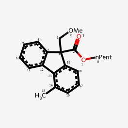 CCCCCOC(=O)C1(COC)c2ccccc2-c2c(C)cccc21